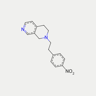 O=[N+]([O-])c1ccc(CCN2CCc3ccncc3C2)cc1